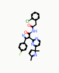 CC1=NC(C)(c2ccnc(-c3c(-c4ccc(F)cc4)noc3NC(=O)Cc3ccccc3Cl)n2)C=C1